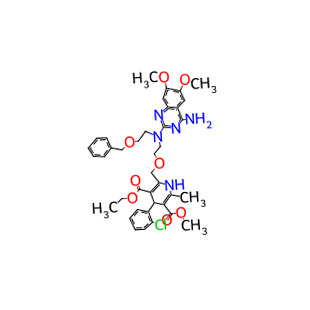 CCOC(=O)C1=C(COCCN(CCOCc2ccccc2)c2nc(N)c3cc(OC)c(OC)cc3n2)NC(C)=C(C(=O)OC)C1c1ccccc1Cl